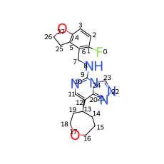 Fc1ccc2c(c1CNc1ncc([C@H]3CCCOCC3)c3nncn13)CCO2